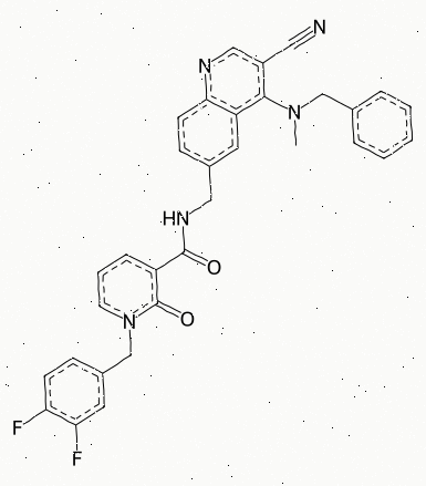 CN(Cc1ccccc1)c1c(C#N)cnc2ccc(CNC(=O)c3cccn(Cc4ccc(F)c(F)c4)c3=O)cc12